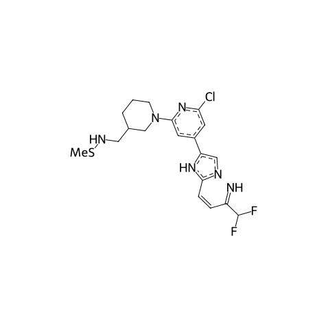 CSNCC1CCCN(c2cc(-c3cnc(/C=C\C(=N)C(F)F)[nH]3)cc(Cl)n2)C1